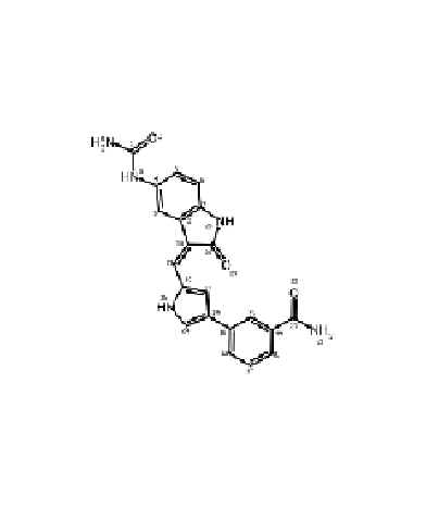 NC(=O)Nc1ccc2c(c1)C(=Cc1cc(-c3cccc(C(N)=O)c3)c[nH]1)C(=O)N2